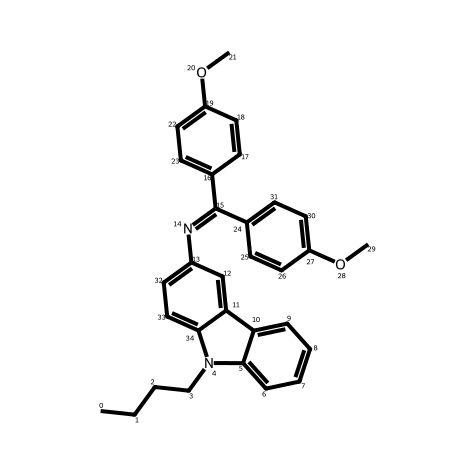 CCCCn1c2ccccc2c2cc(N=C(c3ccc(OC)cc3)c3ccc(OC)cc3)ccc21